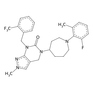 Cc1cccc(F)c1N1CCCC(N2Cc3cn(C)nc3N(Cc3ccccc3C(F)(F)F)C2=O)CC1